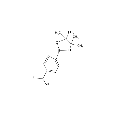 CC1(C)OB(c2ccc(C(F)S)cc2)OC1(C)C